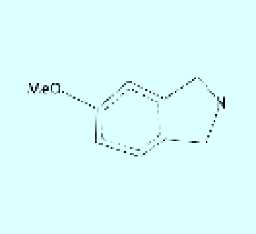 COc1ccc2c(c1)C[N]C2